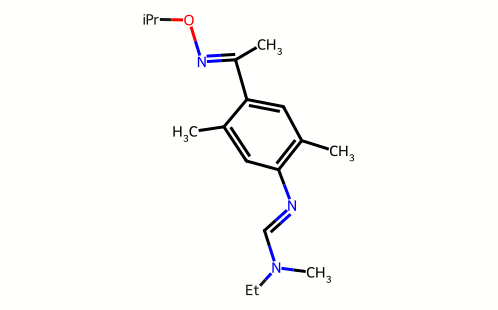 CCN(C)C=Nc1cc(C)c(C(C)=NOC(C)C)cc1C